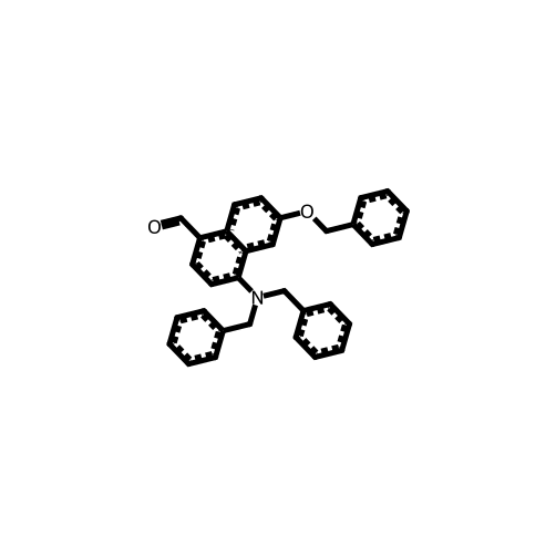 O=Cc1ccc(N(Cc2ccccc2)Cc2ccccc2)c2cc(OCc3ccccc3)ccc12